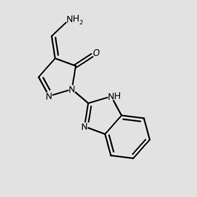 NC=C1C=NN(c2nc3ccccc3[nH]2)C1=O